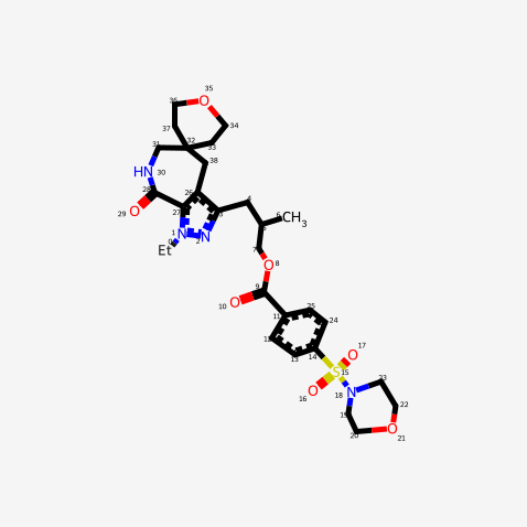 CCn1nc(CC(C)COC(=O)c2ccc(S(=O)(=O)N3CCOCC3)cc2)c2c1C(=O)NCC1(CCOCC1)C2